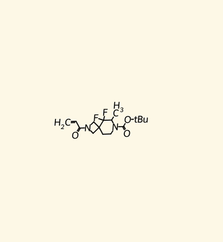 C=CC(=O)N1CC2(CCN(C(=O)OC(C)(C)C)C(C)C2(F)F)C1